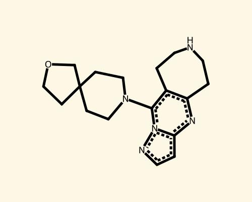 c1cc2nc3c(c(N4CCC5(CCOC5)CC4)n2n1)CCNCC3